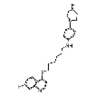 Fc1ccc2c(SCCCCCCNc3ccc(N4CCNCC4)cc3)ccnc2c1